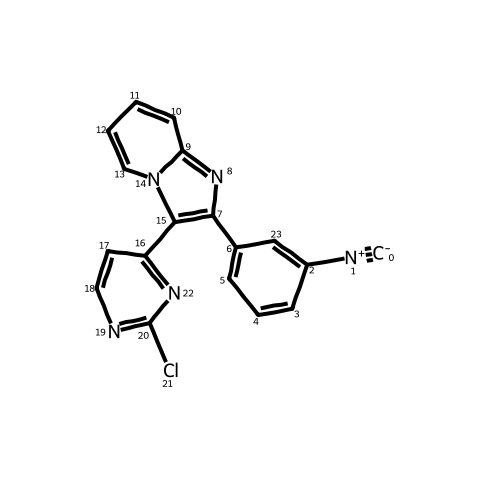 [C-]#[N+]c1cccc(-c2nc3ccccn3c2-c2ccnc(Cl)n2)c1